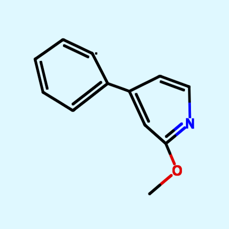 COc1cc(-c2[c]cccc2)ccn1